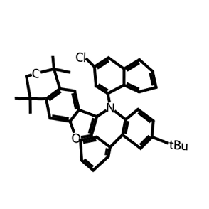 CC(C)(C)c1ccc(N(c2cc(Cl)cc3ccccc23)c2coc3cc4c(cc23)C(C)(C)CCC4(C)C)c(-c2ccccc2)c1